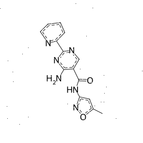 Cc1cc(NC(=O)c2cnc(-c3ccccn3)nc2N)no1